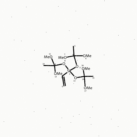 C=C[Si](OC(C)(OC)OC)(OC(C)(OC)OC)OC(C)(OC)OC